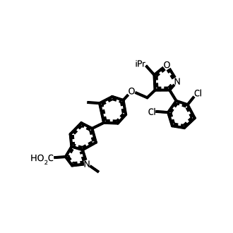 Cc1cc(OCc2c(-c3c(Cl)cccc3Cl)noc2C(C)C)ccc1-c1ccc2c(C(=O)O)cn(C)c2c1